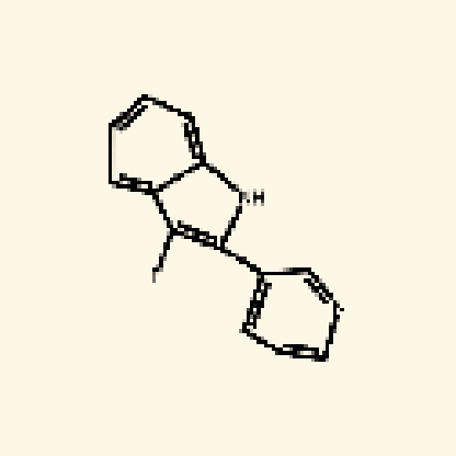 Fc1c(-c2cccnc2)[nH]c2ccccc12